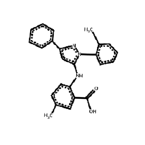 Cc1ccc(Nc2cc(-c3ccccc3)nn2-c2ccccc2C)c(C(=O)O)c1